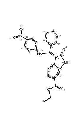 CCOC(=O)c1ccc2c(c1)NC(=O)C2=C(Nc1ccc([N+](=O)[O-])cc1)c1ccccc1